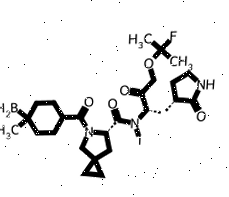 BC1(C)CCC(C(=O)N2CC3(CC3)C[C@H]2C(=O)N(I)[C@@H](C[C@@H]2CCNC2=O)C(=O)COC(C)(C)F)CC1